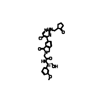 COc1cccc([C@@H](CO)NC(=O)CN2Cc3ccc(-c4nc(NCC5CCCC5=O)ncc4Cl)cc3C2=O)c1